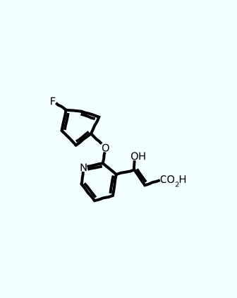 O=C(O)C=C(O)c1cccnc1Oc1ccc(F)cc1